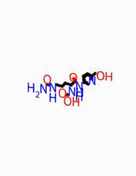 NC(=O)NCCCC(NC(=O)O)C(=O)Nc1ccc(CO)nc1